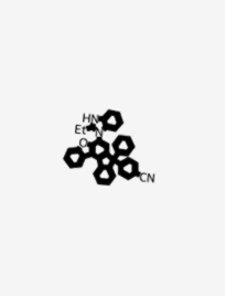 CCC1Nc2ccccc2N1c1cc2c(c3c1oc1ccccc13)-c1ccccc1C2(c1ccccc1)c1ccc(C#N)cc1